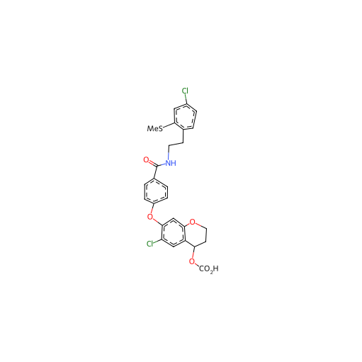 CSc1cc(Cl)ccc1CCNC(=O)c1ccc(Oc2cc3c(cc2Cl)C(OC(=O)O)CCO3)cc1